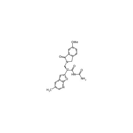 COc1ccc2c(c1)C(=O)N(C[C@@H](C(=O)NC(N)=O)c1cc3cc(C)cnc3o1)C2